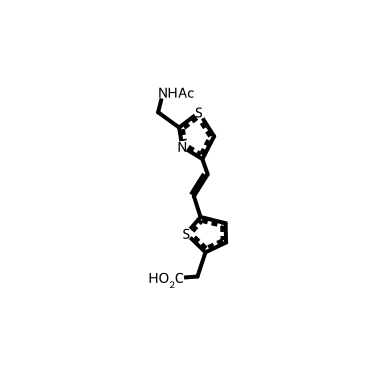 CC(=O)NCc1nc(C=Cc2ccc(CC(=O)O)s2)cs1